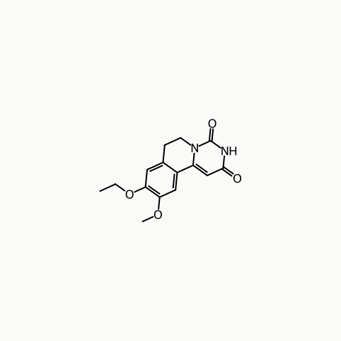 CCOc1cc2c(cc1OC)-c1cc(=O)[nH]c(=O)n1CC2